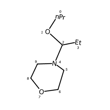 CCCOC(CC)N1CCOCC1